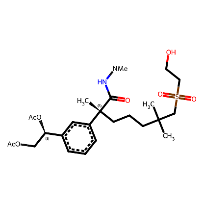 CNNC(=O)[C@](C)(CCCC(C)(C)CS(=O)(=O)CCO)c1cccc([C@@H](COC(C)=O)OC(C)=O)c1